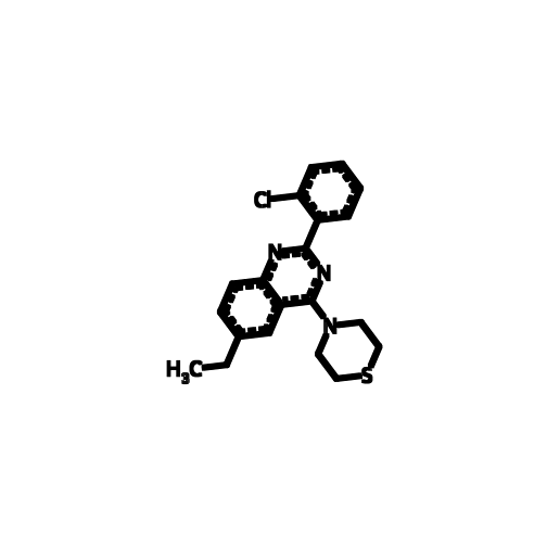 CCc1ccc2nc(-c3ccccc3Cl)nc(N3CCSCC3)c2c1